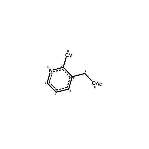 CC(=O)OCc1cccnc1C#N